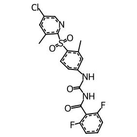 Cc1cc(NC(=O)NC(=O)c2c(F)cccc2F)ccc1S(=O)(=O)c1ncc(Cl)cc1C